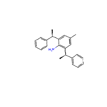 Cc1cc([C@H](C)c2ccccc2)c(N)c([C@H](C)c2ccccc2)c1